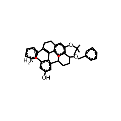 CC(C)(C)Oc1ccc2c(c1)CCC(c1ccccc1)=C2c1c(C(N)=O)cc(O)cc1C1CCC(OCc2ccccc2)CC1